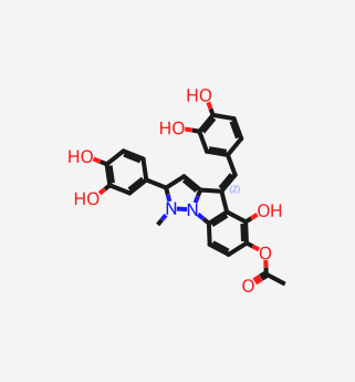 CC(=O)Oc1ccc2c(c1O)/c(=C/c1ccc(O)c(O)c1)c1n2N(C)C(c2ccc(O)c(O)c2)C=1